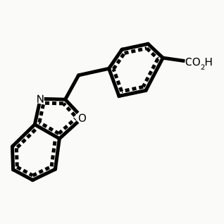 O=C(O)c1ccc(Cc2nc3ccccc3o2)cc1